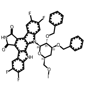 O=C1NC(=O)c2c1c1c3cc(F)c(F)cc3[nH]c1c1c2c2cc(F)c(F)cc2n1[C@@H]1O[C@H](COI)C[C@H](OCc2ccccc2)[C@H]1OCc1ccccc1